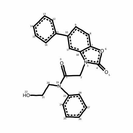 O=C(Cn1c(=O)oc2ccc(-c3ccccc3)cc21)N(CCO)c1ccccc1